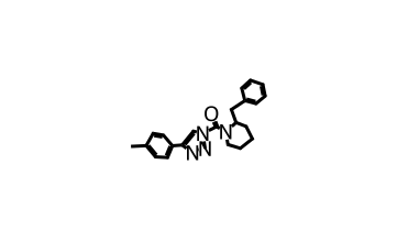 Cc1ccc(-c2cn(C(=O)N3CCCCC3Cc3ccccc3)nn2)cc1